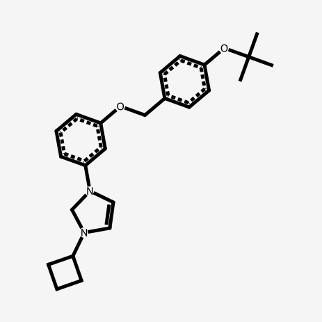 CC(C)(C)Oc1ccc(COc2cccc(N3C=CN(C4CCC4)C3)c2)cc1